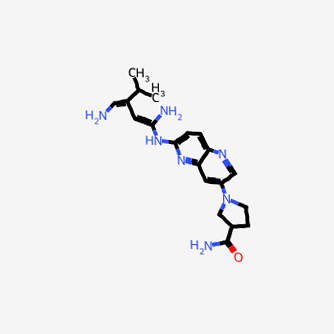 CC(C)C(=C/N)/C=C(\N)Nc1ccc2ncc(N3CCC(C(N)=O)C3)cc2n1